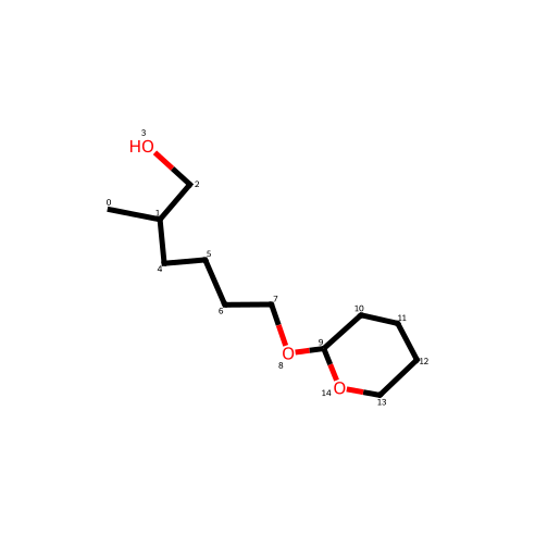 CC(CO)CCCCOC1CCCCO1